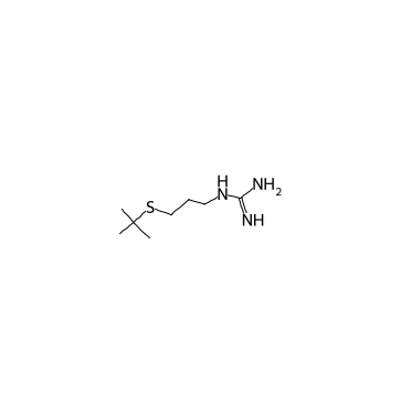 CC(C)(C)SCCCNC(=N)N